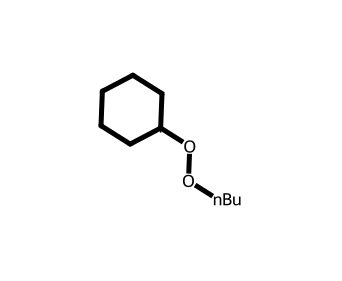 CCCCOO[C]1CCCCC1